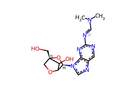 CN(C)/C=N/c1ncc2ncn([C@@H]3O[C@@]4(CO)COC3C4O)c2n1